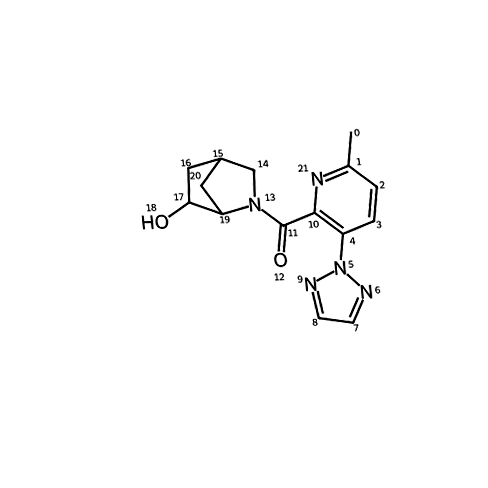 Cc1ccc(-n2nccn2)c(C(=O)N2CC3CC(O)C2C3)n1